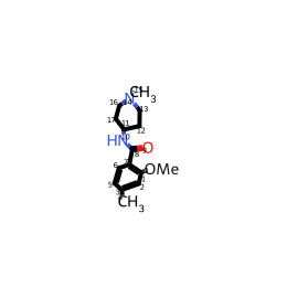 COc1cc(C)ccc1C(=O)NC1CCN(C)CC1